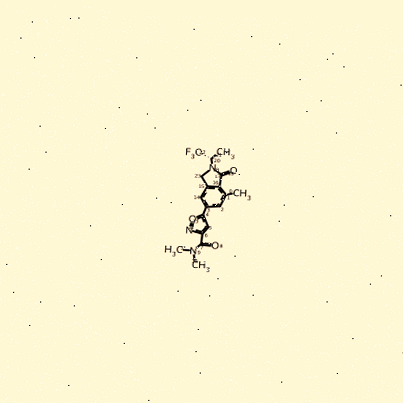 Cc1cc(-c2cc(C(=O)N(C)C)no2)cc2c1C(=O)N([C@@H](C)C(F)(F)F)C2